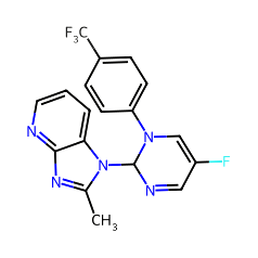 Cc1nc2ncccc2n1C1N=CC(F)=CN1c1ccc(C(F)(F)F)cc1